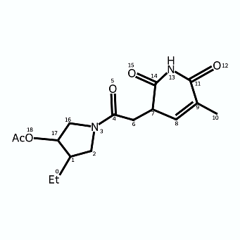 CCC1CN(C(=O)CC2C=C(C)C(=O)NC2=O)CC1OC(C)=O